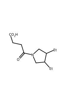 CCC1CN(C(=O)CCC(=O)O)CC1CC